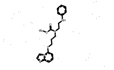 CC(C)(C)OC(=O)N(CCCSc1cccc2nccn12)CCNc1ccccc1